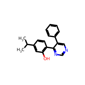 CC(C)c1ccc(-c2n[c]ncc2-c2ccccc2)c(O)c1